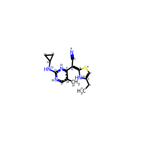 CCC1=CSC(=C(C#N)c2nc(NC3CC3)ncc2C)N1